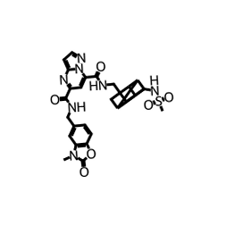 Cn1c(=O)oc2ccc(CNC(=O)c3cc(C(=O)NCC45CC67C4C4C5C6C47NS(C)(=O)=O)n4nccc4n3)cc21